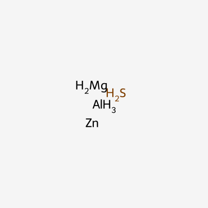 S.[AlH3].[MgH2].[Zn]